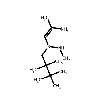 CNN(/C=C(/C)N)CC(C)(C)C(C)(C)C